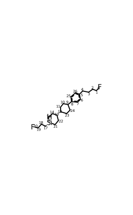 FCCCCc1ccc(C2CCC([C@H]3CC[Si@H](CCCF)CC3)CC2)cc1